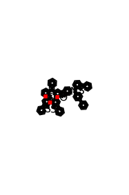 c1ccc(-c2ccc(N(c3ccc4c(c3)oc3cc5c(cc34)N(c3ccccc3)c3ccccc3[Si]5(c3ccc4c(c3)sc3ccccc34)c3ccc4c(c3)sc3ccccc34)c3cccc4c3sc3ccccc34)cc2)cc1